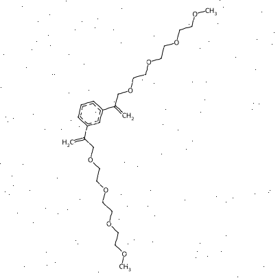 C=C(COCCOCCOCCOC)c1cccc(C(=C)COCCOCCOCCOC)c1